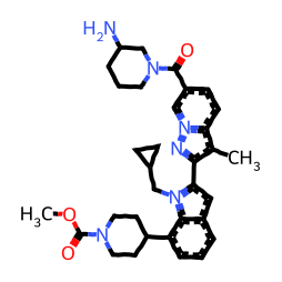 COC(=O)N1CCC(c2cccc3cc(-c4nn5cc(C(=O)N6CCCC(N)C6)ccc5c4C)n(CC4CC4)c23)CC1